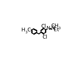 CCN(C)C=Nc1cc(Cl)c(Cc2ccc(C)cc2)cc1Cl